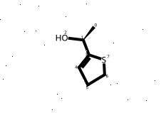 C[C@H](O)C1=CCCS1